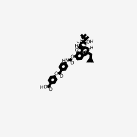 CC(C)(C)C(C)(O)[C@H]1C[C@@]23CC[C@@]1(C)[C@@H]1Oc4c(OC(=O)Nc5ccc(C(=O)Oc6ccc(C(=O)O)cc6)cc5)ccc5c4[C@@]12CCN(CC1CC1)[C@@H]3C5